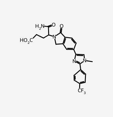 Cn1cc(-c2ccc3c(c2)CN(C(CCC(=O)O)C(N)=O)C3=O)nc1-c1ccc(C(F)(F)F)cc1